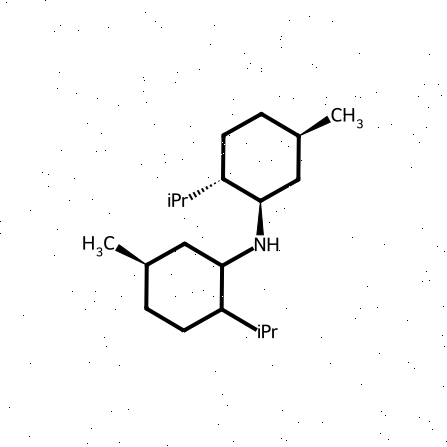 CC(C)C1CC[C@@H](C)CC1N[C@@H]1C[C@H](C)CC[C@H]1C(C)C